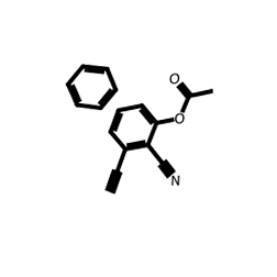 C#Cc1cccc(OC(C)=O)c1C#N.c1ccccc1